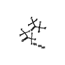 O=C(C(F)(F)F)C(F)(F)F.O=C(C(F)(F)F)C(F)(F)F.[HH].[HH].[HH]